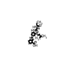 CCc1[nH]c(C(=O)NC2CCN(c3nc4cccc(C(=O)O)c4s3)CC2NCCC(C)C)nc1Cl